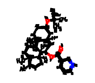 CC(=O)[C@H]1CC[C@H]2[C@@H]3[C@H](OC(=O)c4cccnc4)C[C@H]4C[C@H](O[Si](C)(C)C(C)(C)C)CC[C@]4(C)[C@H]3CC[C@]12C